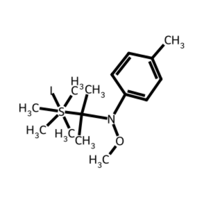 CON(c1ccc(C)cc1)C(C)(C)S(C)(C)(C)(C)I